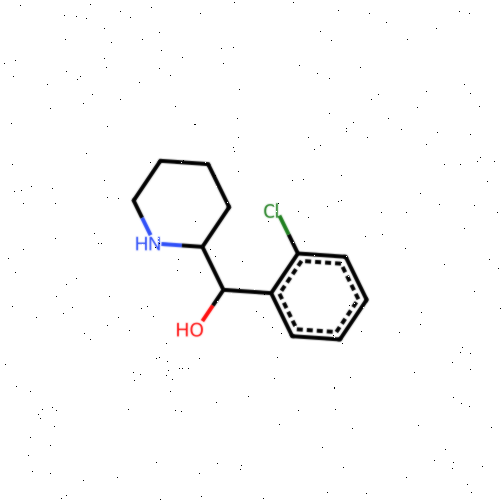 OC(c1ccccc1Cl)C1CCCCN1